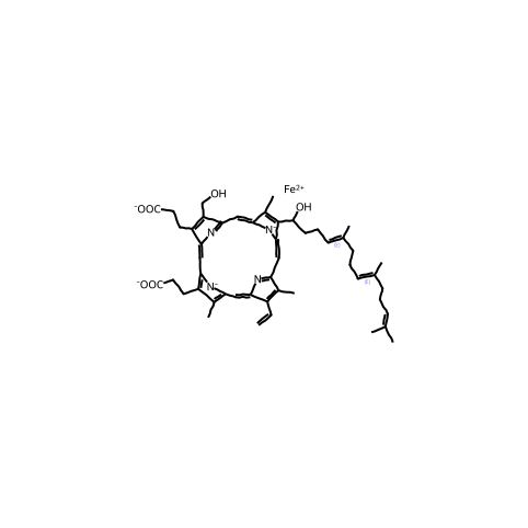 C=CC1=C(C)c2cc3[n-]c(cc4nc(cc5[n-]c(cc1n2)c(C)c5CCC(=O)[O-])C(CCC(=O)[O-])=C4CO)c(C)c3C(O)CC/C=C(\C)CC/C=C(\C)CCC=C(C)C.[Fe+2]